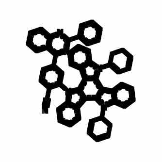 N#Cc1ccc(-c2nc(-c3ccccc3)nc3ccccc23)cc1-n1c2ccccc2c2c1c1c3ccccc3n(C3=CC=CCC3)c1c1c3ccccc3n(C3C=CC=CC3)c12